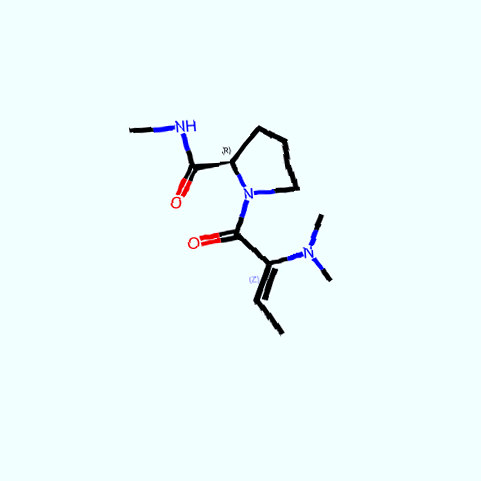 C/C=C(/C(=O)N1CCC[C@@H]1C(=O)NC)N(C)C